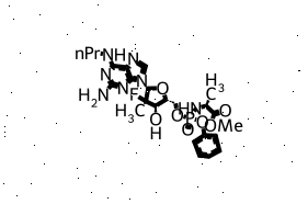 CCCNc1nc(N)nc2c1ncn2[C@@H]1O[C@H](COP(=O)(N[C@@H](C)C(=O)OC)Oc2ccccc2)[C@@H](O)[C@@]1(C)F